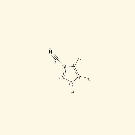 Cc1c(C#N)nn(C)c1C